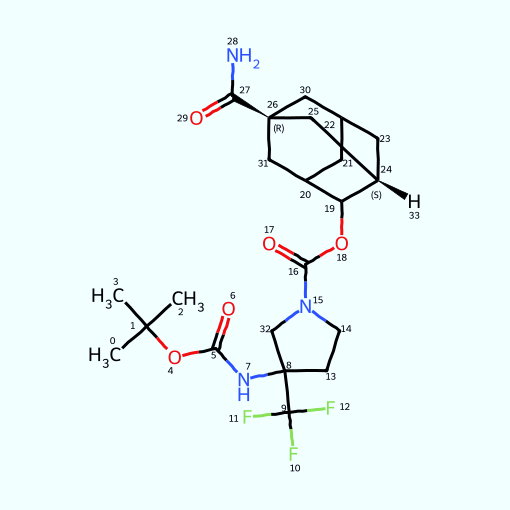 CC(C)(C)OC(=O)NC1(C(F)(F)F)CCN(C(=O)OC2C3CC4C[C@H]2C[C@@](C(N)=O)(C4)C3)C1